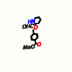 COC(=O)c1ccc(COC2(C=O)C=CC=CN2)cc1